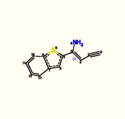 C#C/C=C(\N)c1cc2c(s1)C=C=C=C2